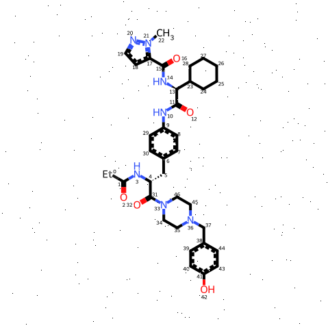 CCC(=O)N[C@H](Cc1ccc(NC(=O)[C@@H](NC(=O)c2ccnn2C)C2CCCCC2)cc1)C(=O)N1CCN(Cc2ccc(O)cc2)CC1